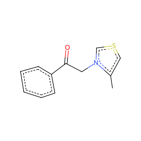 Cc1csc[n+]1CC(=O)c1ccccc1